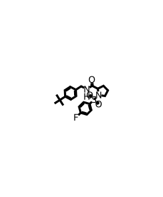 CC(C)(C)c1ccc(CNC(=O)C2CCCN2S(=O)(=O)c2ccc(F)cc2)cc1